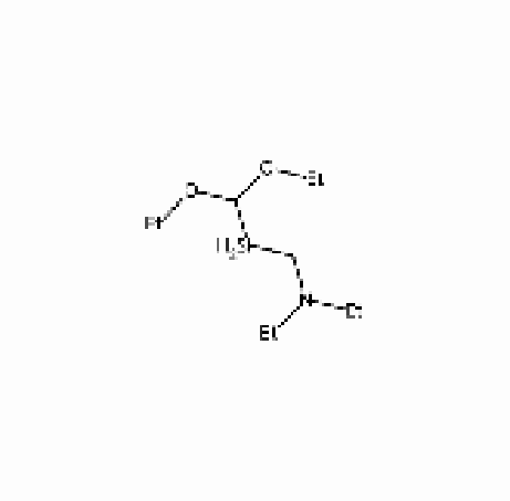 CCOC(OCC)[SiH2]CN(CC)CC